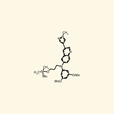 COc1cc(OC)cc(N(CCCO[Si](C)(C)C(C)(C)C)c2ccc3ncc(-c4cnn(C)c4)cc3c2)c1